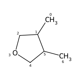 CC1COCC1C